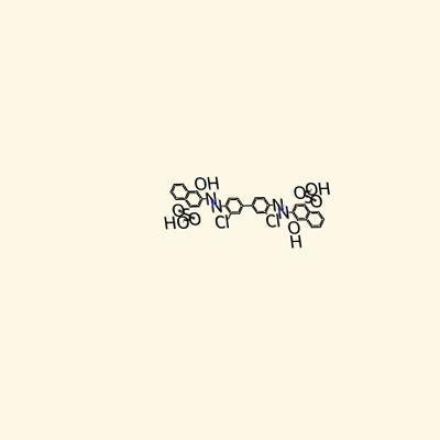 O=S(=O)(O)c1cc(/N=N/c2ccc(-c3ccc(/N=N/c4cc(S(=O)(=O)O)c5ccccc5c4O)c(Cl)c3)cc2Cl)c(O)c2ccccc12